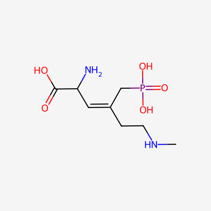 CNCCC(=CC(N)C(=O)O)CP(=O)(O)O